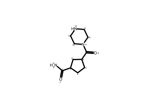 NC(=O)C1CCC(C(=O)N2CCNCC2)C1